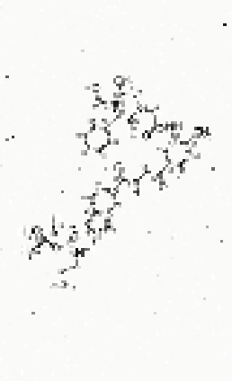 CCCN(Cc1nc2cc(C(=O)NCC(=O)c3ccc(C)c(NC(=O)CN(CCC)C(=O)[C@H](NC=O)c4ccccc4)c3)ccc2[nH]1)C(=O)OC(C)(C)C